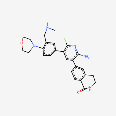 CN(C)Cc1cc(-c2cc(-c3ccc4c(c3)CCNC4=O)c(N)nc2F)ccc1N1CCOCC1